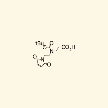 CC(C)(C)OC(=O)N(CCC(=O)O)CCN1C(=O)C=CC1=O